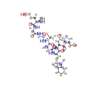 CC[C@H](C)C(NC(=O)CNC(=O)[C@H](C)NC(=O)[C@@H](NS)[C@@H](C)CCO)C(=O)N(C)CC(=O)N[C@@H](CSc1c(C)c2ccccc2n1C)C(=O)N[C@@H](CC=O)C(=O)N1CCC[C@H]1C=O